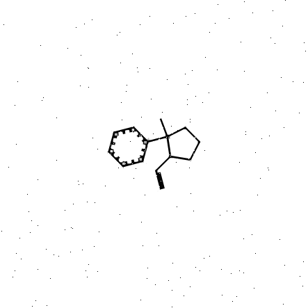 C=C[C]1CCCC1(C)c1ccccc1